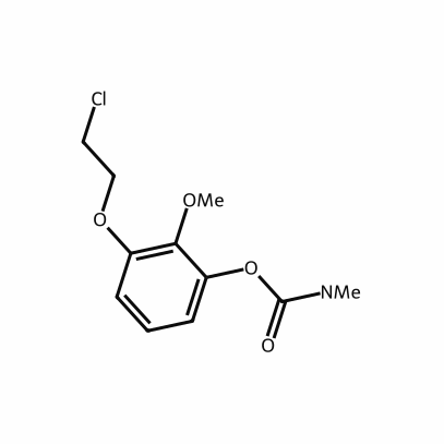 CNC(=O)Oc1cccc(OCCCl)c1OC